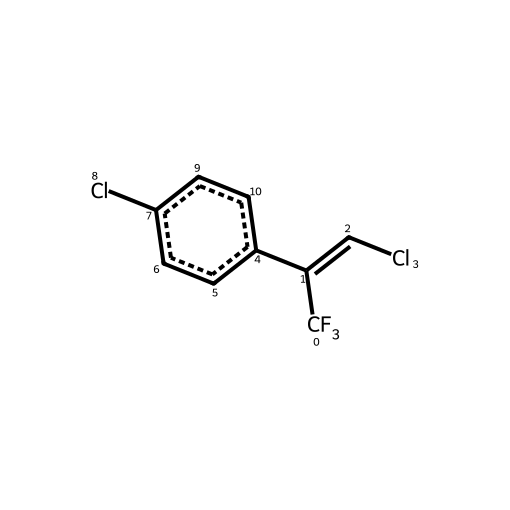 FC(F)(F)C(=CCl)c1ccc(Cl)cc1